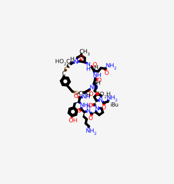 CC[C@H](C)C(N)C(=O)N1CCC[C@H]1C(=O)N1CCC[C@H]1C(=O)N[C@@H](CCCCN)C(=O)N[C@@H](Cc1ccc(O)cc1)C(=O)N[C@H]1CSCc2ccc(cc2)CSC[C@@H](C(=O)O)N2CC(C)CC(NC(=O)[C@H](CCC(N)=O)NC(=O)[C@H](CCC(=O)O)NC1=O)C2=O